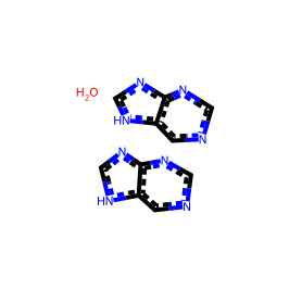 O.c1ncc2[nH]cnc2n1.c1ncc2[nH]cnc2n1